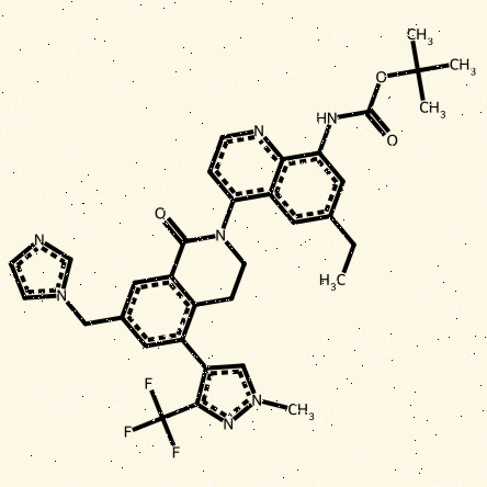 CCc1cc(NC(=O)OC(C)(C)C)c2nccc(N3CCc4c(cc(Cn5ccnc5)cc4-c4cn(C)nc4C(F)(F)F)C3=O)c2c1